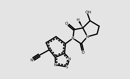 N#Cc1ccc(N2C(=O)[C@@H]3C(O)CCN3C2=O)c2nsnc12